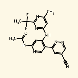 CC(=O)Nc1cc(Nc2cc(C)nc(C(C)(F)F)n2)c(-c2cc(C#N)cnn2)cn1